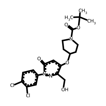 CC(C)(C)OC(=O)N1CCC(Oc2cc(=O)n(-c3ccc(Cl)c(Cl)c3)nc2CO)CC1